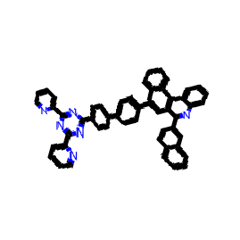 c1ccc(-c2nc(-c3ccc(-c4ccc(-c5cc6c(-c7ccc8ccccc8c7)nc7ccccc7c6c6ccccc56)cc4)cc3)nc(-c3ccccn3)n2)nc1